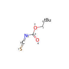 CC(C)(C)COC(=O)N=C=S